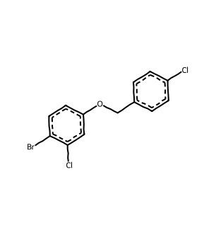 Clc1ccc(COc2ccc(Br)c(Cl)c2)cc1